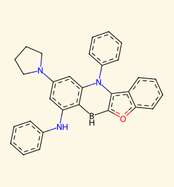 B1c2oc3ccccc3c2N(c2ccccc2)c2cc(N3CCCC3)cc(Nc3ccccc3)c21